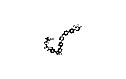 Cc1cc(-c2n[nH]c3ncc(-c4ccc(N5CCN(CC6CCN(c7ccc(N8CCC(=O)NC8=O)cc7)CC6)CC5)cc4)cc23)ccc1C(C)NC(=O)c1noc(C2(CO)CC2)n1